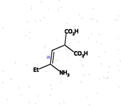 CC/C(N)=C/C(C(=O)O)C(=O)O